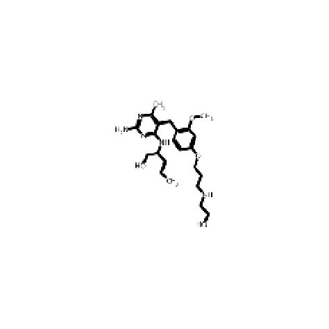 CCCC(CO)Nc1nc(N)nc(C)c1Cc1ccc(OCCCNCCO)cc1OC